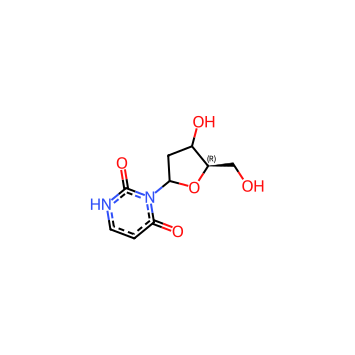 O=c1cc[nH]c(=O)n1C1CC(O)[C@@H](CO)O1